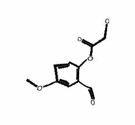 COc1ccc(OC(=O)CCl)c(C=O)c1